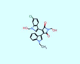 CCn1cc(C2=C(c3cn(CO)c4cc(Cl)ccc34)C(=O)N(CO)C2=O)c2ccccc21